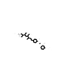 Cc1cccc(NC(=O)Nc2ccc(C=Cc3csc4c(-c5cnn(C)c5)cnc(N)c34)cc2)c1